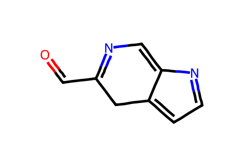 O=CC1=NC=C2N=CC=C2C1